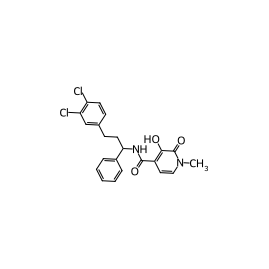 Cn1ccc(C(=O)NC(CCc2ccc(Cl)c(Cl)c2)c2ccccc2)c(O)c1=O